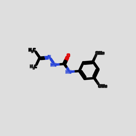 COc1cc(NC(=O)NN=C(C)C)cc(OC)c1